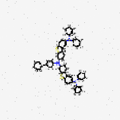 c1ccc(-c2ccc(N(c3ccc4c(c3)sc3ccc(N(c5ccccc5)c5ccccc5)cc34)c3ccc4c(c3)sc3ccc(N(c5ccccc5)c5ccccc5)cc34)cc2)cc1